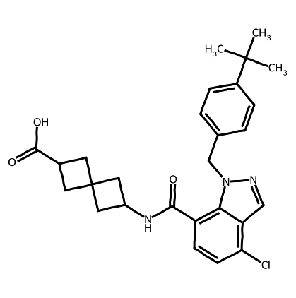 CC(C)(C)c1ccc(Cn2ncc3c(Cl)ccc(C(=O)NC4CC5(C4)CC(C(=O)O)C5)c32)cc1